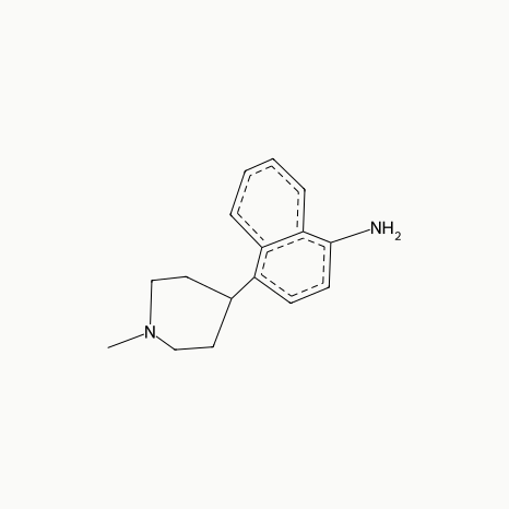 CN1CCC(c2ccc(N)c3ccccc23)CC1